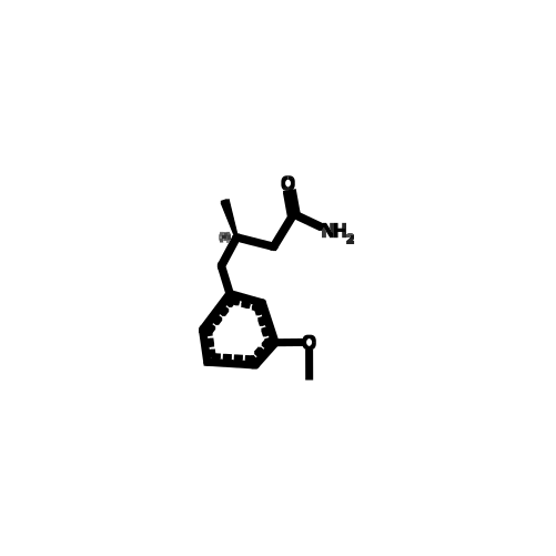 COc1cccc(C[C@@H](C)CC(N)=O)c1